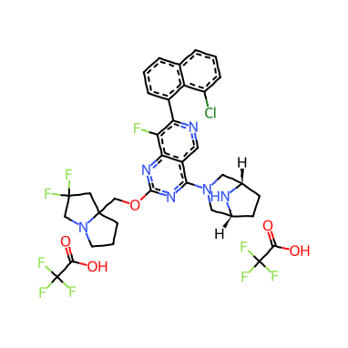 Fc1c(-c2cccc3cccc(Cl)c23)ncc2c(N3C[C@H]4CC[C@@H](C3)N4)nc(OCC34CCCN3CC(F)(F)C4)nc12.O=C(O)C(F)(F)F.O=C(O)C(F)(F)F